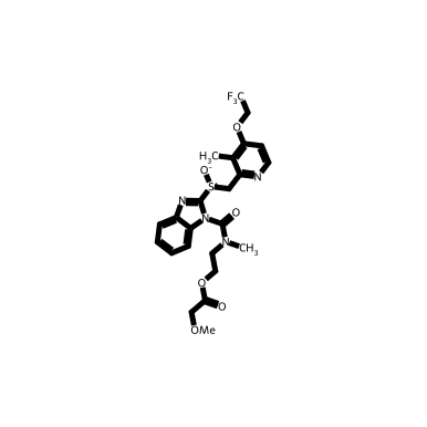 COCC(=O)OCCN(C)C(=O)n1c([S+]([O-])Cc2nccc(OCC(F)(F)F)c2C)nc2ccccc21